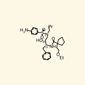 CCOCCC1(C(=O)N[C@@H](Cc2ccccc2)[C@H](O)CN(CC(C)C)S(=O)(=O)c2ccc(N)cc2)CCCC1